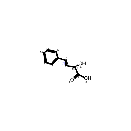 O=C(O)[C@H](O)/C=C/c1ccccc1